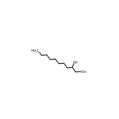 CCCCCCCCCC(O)CCCCCCCC(=O)O